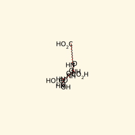 O=C(O)CCCCCCCCCCCCCCC(=O)NCCCC(=O)N[C@@H](CCC(=O)NCCCC(=O)N[C@@H](CCONO)C(=O)O)C(=O)O